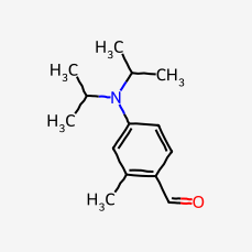 Cc1cc(N(C(C)C)C(C)C)ccc1C=O